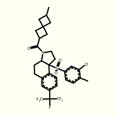 Cc1ccc(S(=O)(=O)C23CCN(C(=O)C4CC5(CC(C)C5)C4)C2CCc2cc(C(F)(C(F)(F)F)C(F)(F)F)ccc23)cc1Cl